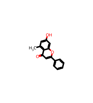 Cc1cc(O)cc2oc(-c3ccccc3)cc(=O)c12